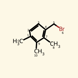 Cc1ccc(CBr)c(C)c1C